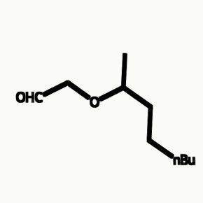 CCCCCCC(C)OCC=O